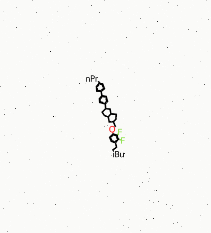 CCCc1ccc(-c2ccc(C3CCC4CC(COc5ccc(CCC(C)CC)c(F)c5F)CCC4C3)cc2)cc1